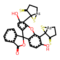 O=C1OC2(c3ccccc31)c1ccc(O)c(C34S[As]3CCC4=S)c1Oc1c2ccc(O)c1C12S[As]1CCC2=S